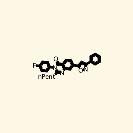 CCCCCc1nc2cc(-c3cc(-c4ccccc4)no3)ccc2c(=O)n1-c1ccc(F)cc1